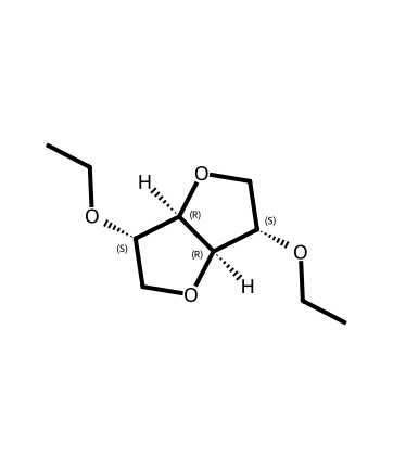 CCO[C@H]1CO[C@H]2[C@@H]1OC[C@@H]2OCC